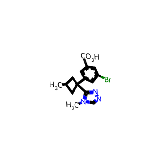 CC1CC(c2cc(Br)cc(C(=O)O)c2)(c2nncn2C)C1